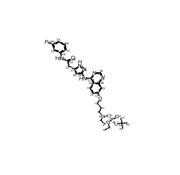 CCOP(=O)(ON(CC)CCCOc1ccc2c(Nc3cc(CC(=O)Nc4cccc(F)c4)[nH]n3)ncnc2c1)OC(C)(C)C